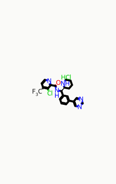 Cl.O=C(NC(c1cccc(-c2cncnc2)c1)[C@@H]1CCCCN1)c1nccc(C(F)(F)F)c1Cl